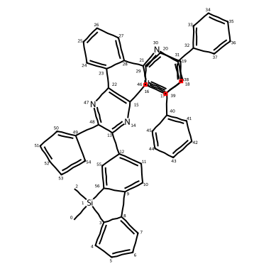 C[Si]1(C)c2ccccc2-c2ccc(-c3nc(-c4ccccc4)c(-c4ccccc4-c4nc(-c5ccccc5)cc(-c5ccccc5)n4)nc3-c3ccccc3)cc21